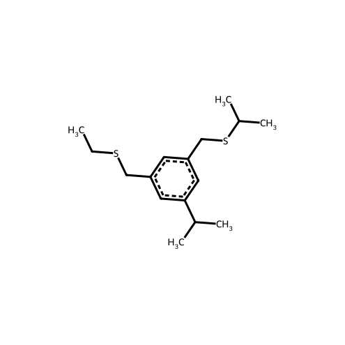 CCSCc1cc(CSC(C)C)cc(C(C)C)c1